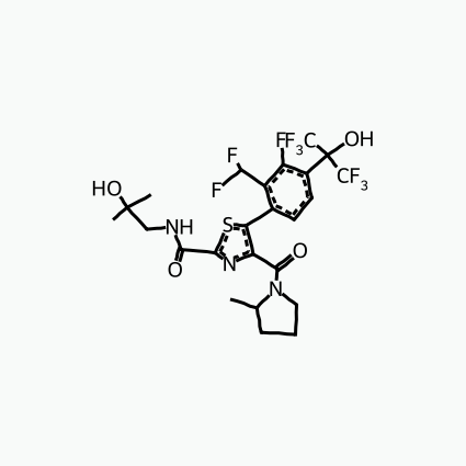 CC1CCCN1C(=O)c1nc(C(=O)NCC(C)(C)O)sc1-c1ccc(C(O)(C(F)(F)F)C(F)(F)F)c(F)c1C(F)F